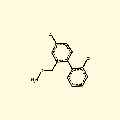 NOCc1cc(Cl)ccc1-c1ccccc1Cl